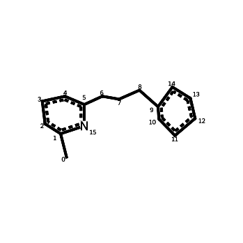 Cc1cccc(CCCc2ccccc2)n1